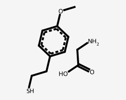 COc1ccc(CCS)cc1.NCC(=O)O